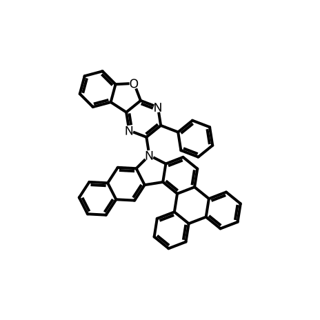 c1ccc(-c2nc3oc4ccccc4c3nc2-n2c3cc4ccccc4cc3c3c4c5ccccc5c5ccccc5c4ccc32)cc1